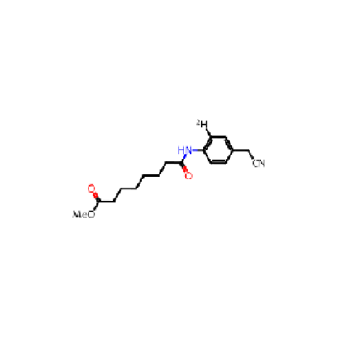 [2H]c1cc(CC#N)ccc1NC(=O)CCCCCCC(=O)OC